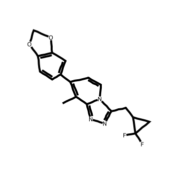 Cc1c(-c2ccc3c(c2)OCO3)ccn2c(CC3CC3(F)F)nnc12